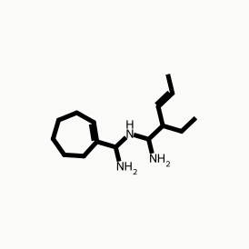 CC=CC(CC)C(N)NC(N)C1=CCCCCC1